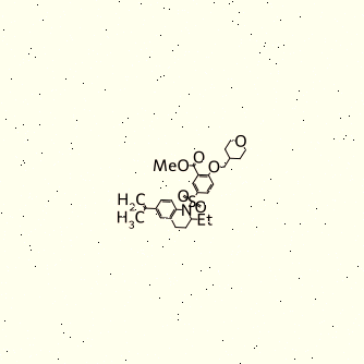 C=C(C)c1ccc2c(c1)CCC(CC)N2S(=O)(=O)c1ccc(OCC2CCOCC2)c(C(=O)OC)c1